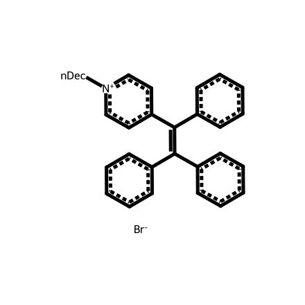 CCCCCCCCCC[n+]1ccc(C(=C(c2ccccc2)c2ccccc2)c2ccccc2)cc1.[Br-]